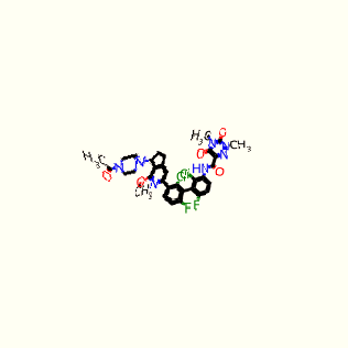 COc1nc(-c2ccc(F)c(-c3c(F)ccc(NC(=O)c4nn(C)c(=O)n(C)c4=O)c3Cl)c2Cl)cc2c1[C@@H](N1CCN(C(C)=O)CC1)CC2